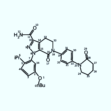 CCCCOc1ccc(C(C)C)c(-n2nc(C(N)=O)c3c2C(=O)N(c2ccc(N4CCCCC4=O)cc2)CC3)c1